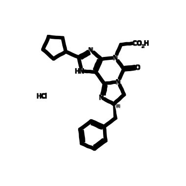 Cl.O=C(O)CN1C(=O)N2C[C@@H](Cc3ccccc3)N=C2c2[nH]c(C3CCCC3)nc21